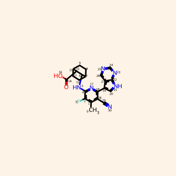 Cc1c(F)c(NC2C3CCC(CC3)C2C(=O)O)nc(-c2c[nH]c3ncncc23)c1C#N